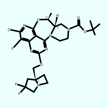 C[C@@H]1Oc2nc(Cl)c(F)c3nc(OC[C@@]45CCN4CC(F)(F)C5)nc(c23)N2CCN(C(=O)OC(C)(C)C)C[C@@H]12